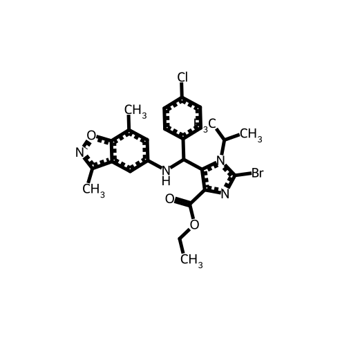 CCOC(=O)c1nc(Br)n(C(C)C)c1C(Nc1cc(C)c2onc(C)c2c1)c1ccc(Cl)cc1